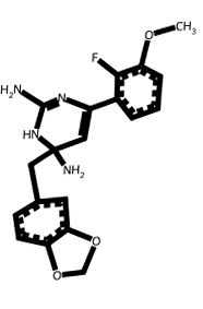 COc1cccc(C2=CC(N)(Cc3ccc4c(c3)OCO4)NC(N)=N2)c1F